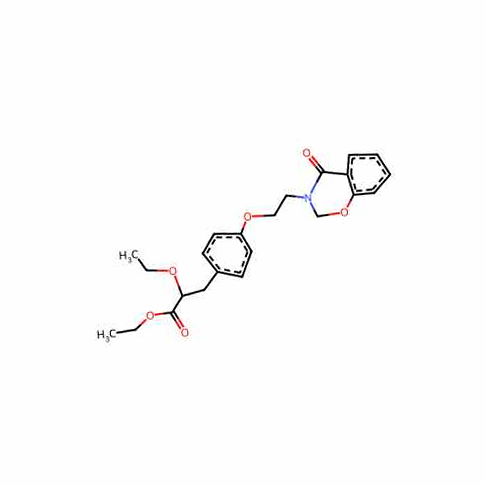 CCOC(=O)C(Cc1ccc(OCCN2COc3ccccc3C2=O)cc1)OCC